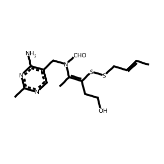 C/C=C/CSS/C(CCO)=C(/C)N(C=O)Cc1cnc(C)nc1N